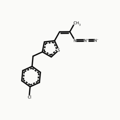 C/C(=C/c1cc(Cc2ccc(Cl)cc2)cs1)N=[N+]=[N-]